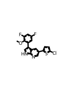 COc1c(F)cc(F)cc1-c1c[nH]c2ncc(-c3ccc(Cl)s3)cc12